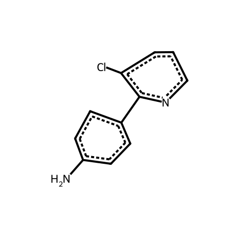 Nc1ccc(-c2ncccc2Cl)cc1